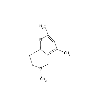 Cc1cc(C)c2c(n1)CCN(C)C2